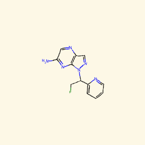 Nc1cnc2cnn(C(CF)c3ccccn3)c2n1